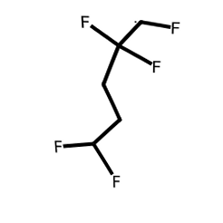 F[CH]C(F)(F)CCC(F)F